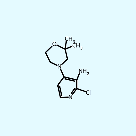 CC1(C)CN(c2ccnc(Cl)c2N)CCO1